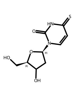 O=c1[nH]c(=S)ccn1[C@H]1CC(O)[C@@H](CO)O1